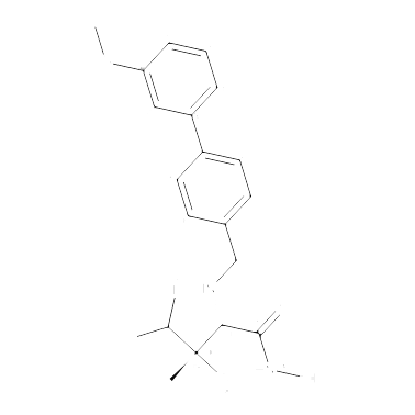 COc1cccc(-c2ccc(CN[C@H](C(=O)NO)[C@](C)(O)C(F)F)cc2)c1